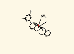 Cc1cc(F)cc(-c2ccc3c(c2)C2(N=C(N)N(C)C2=O)C2(CCc4ccccc4CC2)C3)c1